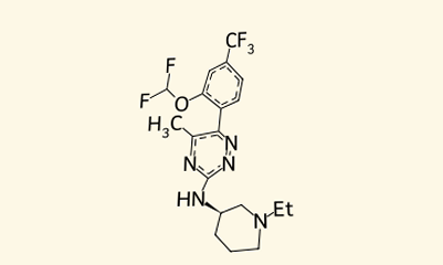 CCN1CCC[C@@H](Nc2nnc(-c3ccc(C(F)(F)F)cc3OC(F)F)c(C)n2)C1